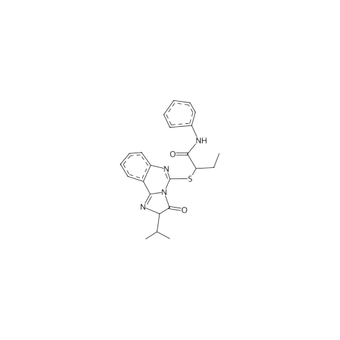 CCC(SC1=Nc2ccccc2C2=NC(C(C)C)C(=O)N12)C(=O)Nc1ccccc1